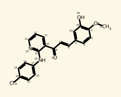 COc1ccc(C=CC(=O)c2cccnc2Nc2ccc(Cl)cc2)cc1O